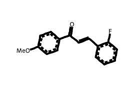 COc1ccc(C(=O)C=Cc2ccccc2F)cc1